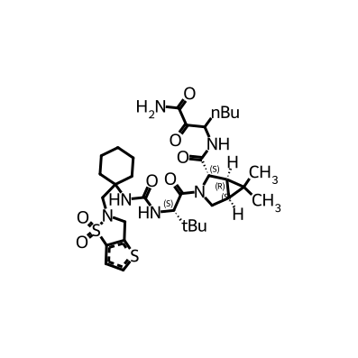 CCCCC(NC(=O)[C@@H]1[C@@H]2[C@H](CN1C(=O)[C@@H](NC(=O)NC1(CN3Cc4sccc4S3(=O)=O)CCCCC1)C(C)(C)C)C2(C)C)C(=O)C(N)=O